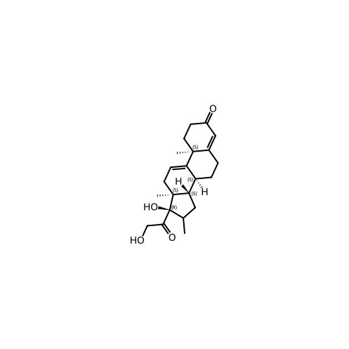 CC1C[C@H]2[C@@H]3CCC4=CC(=O)CC[C@]4(C)C3=CC[C@]2(C)[C@@]1(O)C(=O)CO